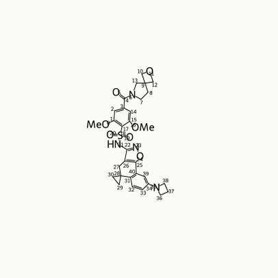 COc1cc(C(=O)N2CCC3(COC3)C2)cc(OC)c1S(=O)(=O)Nc1noc2c1CC1(CC1)c1ccc(N3CCC3)cc1-2